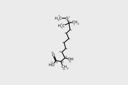 COC(C)(C)CCCCCCC(O)C(C)C(=O)O